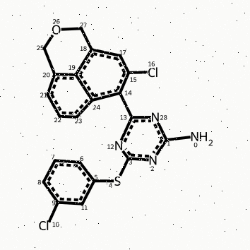 Nc1nc(Sc2cccc(Cl)c2)nc(-c2c(Cl)cc3c4c(cccc24)COC3)n1